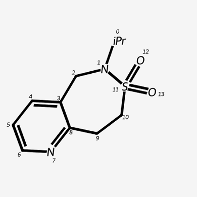 CC(C)N1Cc2cccnc2CCS1(=O)=O